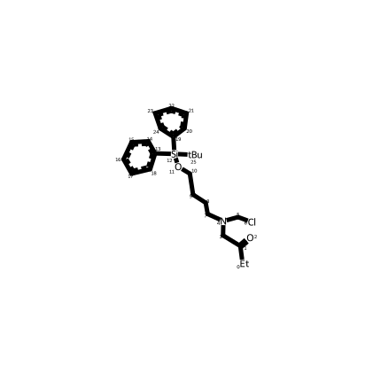 CCC(=O)CN(CCl)CCCCO[Si](c1ccccc1)(c1ccccc1)C(C)(C)C